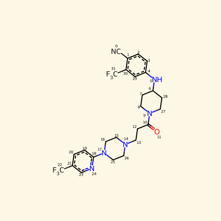 N#Cc1ccc(NC2CCN(C(=O)CCN3CCN(c4ccc(C(F)(F)F)cn4)CC3)CC2)cc1C(F)(F)F